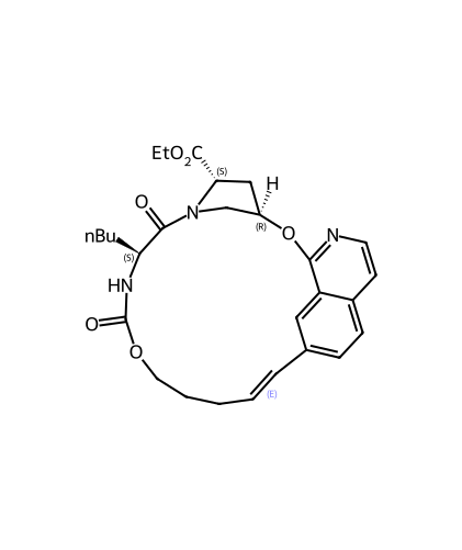 CCCC[C@@H]1NC(=O)OCCC/C=C/c2ccc3ccnc(c3c2)O[C@@H]2C[C@@H](C(=O)OCC)N(C2)C1=O